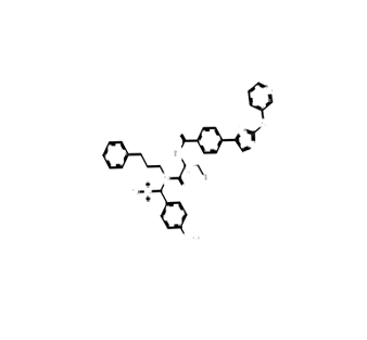 COc1ccc(C(N(CCCc2ccccc2)C(=O)[C@H](CC(C)C)NC(=O)c2ccc(-c3csc(Nc4cccnc4)n3)cc2)S(N)(=O)=O)cc1